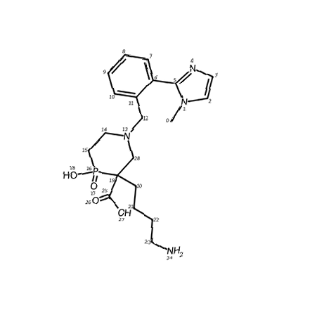 Cn1ccnc1-c1ccccc1CN1CCP(=O)(O)C(CCCCN)(C(=O)O)C1